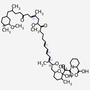 COC(C/C(C)=C/CC(=O)CCC(C)CC1CC[C@@H](C)C(OC)C1)C(=O)CCC/C=C/C=C/C=C(\C)[C@H](CC1CCC(C)C(O)(C(=O)C(=O)N2CCCCC2C(=O)O)O1)OC